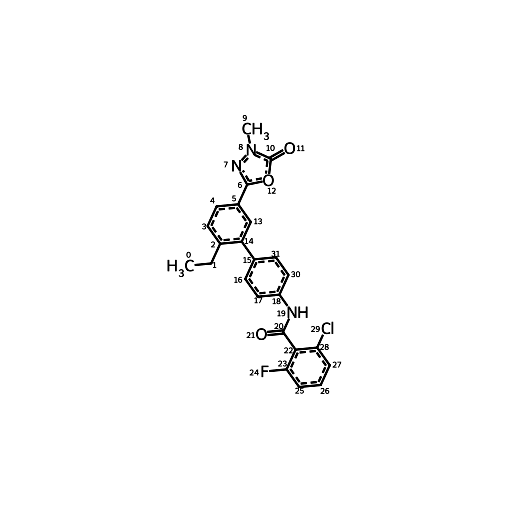 CCc1ccc(-c2nn(C)c(=O)o2)cc1-c1ccc(NC(=O)c2c(F)cccc2Cl)cc1